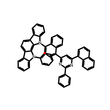 c1ccc(-c2nc(-c3cccc4ccccc34)cc(-c3ccc(-n4c5ccccc5c5ccc6c7ccccc7n(-c7ccccc7)c6c54)c4ccccc34)n2)cc1